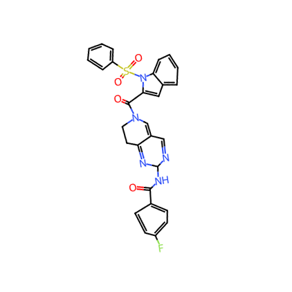 O=C(NC1N=CC2=CN(C(=O)c3cc4ccccc4n3S(=O)(=O)c3ccccc3)CCC2=N1)c1ccc(F)cc1